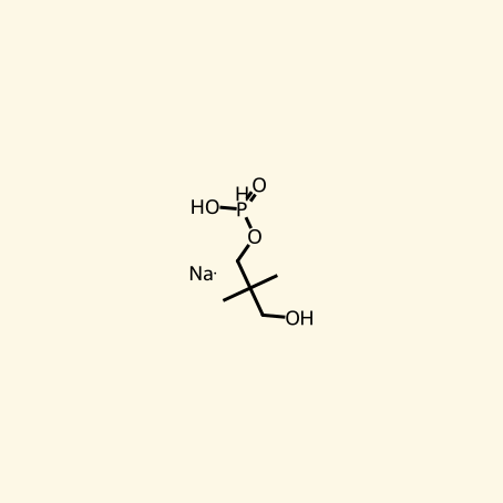 CC(C)(CO)CO[PH](=O)O.[Na]